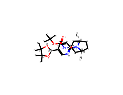 CC(C)(C)OC(=O)N[C@@H]1C[C@H]2CC[C@@H](C1)N2c1ccc(B2OC(C)(C)C(C)(C)O2)cn1